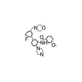 COc1cccc(C(=O)Nc2cc(-c3cc(CN4CCOCC4)ccc3F)ccc2N2CCN(C)CC2)c1